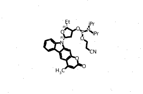 CC[C@H]1O[C@@H](n2c3ccccc3c3cc4c(C)cc(=O)oc4cc32)CC1OP(OCCC#N)N(C(C)C)C(C)C